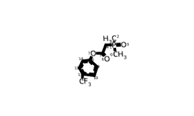 CP(C)(=O)CC(=O)Oc1ccc(C(F)(F)F)cc1